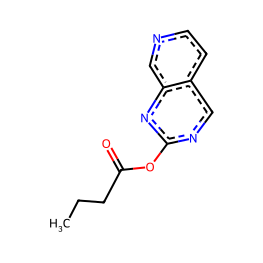 CCCC(=O)Oc1ncc2ccncc2n1